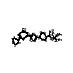 CC(C)(C)OC(=O)N1CCC(c2noc(-c3cc(F)cc(N4CCOCC4)c3)n2)CC1